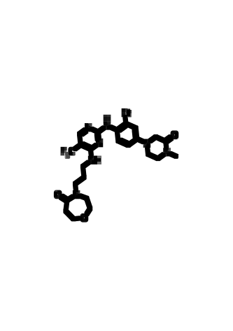 CCc1cc(N2CCN(C)C(=O)C2)ccc1Nc1ncc(C(F)(F)F)c(NCCCN2CCOCCC2=O)n1